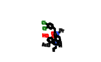 C=CCN1CC[C@]23c4c5c(OC(C)=O)cc(O)c4O[C@H]2[C@@H](N(CC(C)C)C(=O)Cc2ccc(Cl)c(Cl)c2)CC[C@H]3[C@H]1C5